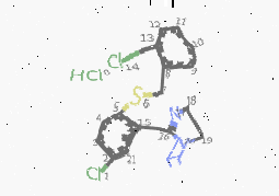 Cl.Clc1ccc(SCc2ccccc2Cl)c(C2=NCCN2)c1